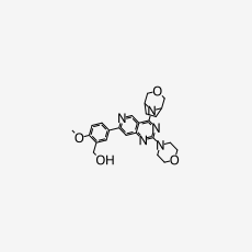 COc1ccc(-c2cc3nc(N4CCOCC4)nc(N4C5CCC4COC5)c3cn2)cc1CO